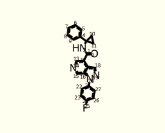 O=C(NC1(c2ccccc2)CC1)c1cncc2c1cnn2-c1ccc(F)cc1